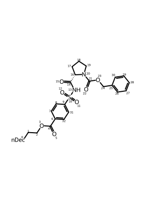 CCCCCCCCCCCCOC(=O)c1ccc(S(=O)(=O)NC(=O)[C@@H]2CCCN2C(=O)OCc2ccccc2)cc1